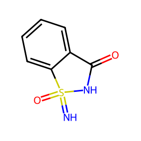 N=S1(=O)NC(=O)c2ccccc21